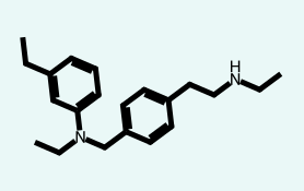 CCNCCc1ccc(CN(CC)c2cccc(CC)c2)cc1